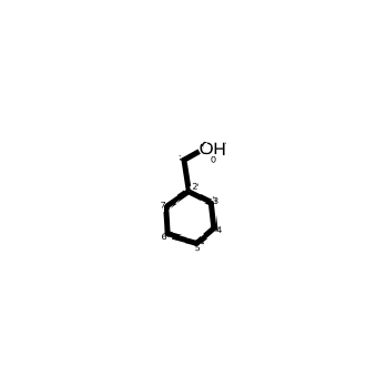 OCC1CC[CH]CC1